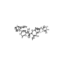 CC(C)n1cnnc1-c1cccc(NC(=O)c2cc3nn(CC4CN(C)CCO4)cc3cc2F)n1